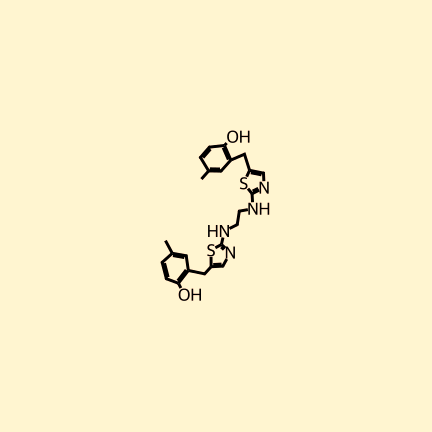 Cc1ccc(O)c(Cc2cnc(NCCNc3ncc(Cc4cc(C)ccc4O)s3)s2)c1